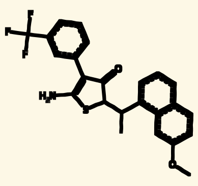 COc1ccc2cccc(C(C)C3SC(N)=C(c4cccc(C(F)(F)F)c4)C3=O)c2c1